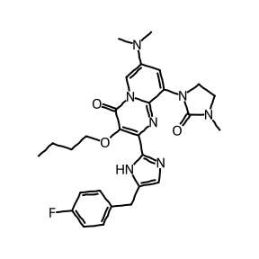 CCCCOc1c(-c2ncc(Cc3ccc(F)cc3)[nH]2)nc2c(N3CCN(C)C3=O)cc(N(C)C)cn2c1=O